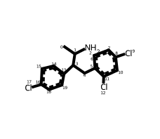 CC(N)C(Cc1ccc(Cl)cc1Cl)c1ccc(Cl)cc1